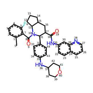 Cc1cccc(F)c1C(=O)N1C2CCCC2CC(C(=O)Nc2ccc3cccnc3c2)C1c1ccc(NC2CCOCC2)cc1